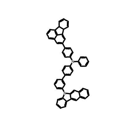 C1=CC2c3cccc4cc(-c5ccc(N(c6ccccc6)c6ccc(-c7cccc(-n8c9ccccc9c9cc%10ccccc%10cc98)c7)cc6)cc5)cc(c34)C2C=C1